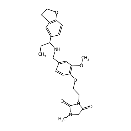 CCC(NCc1ccc(OCCN2C(=O)CN(C)C2=O)c(OC)c1)c1ccc2c(c1)CCO2